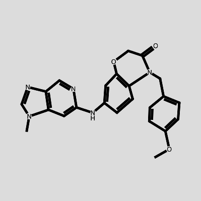 COc1ccc(CN2C(=O)COc3cc(Nc4cc5c(cn4)ncn5C)ccc32)cc1